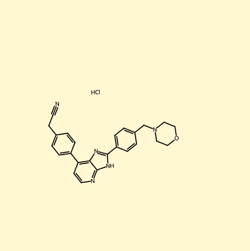 Cl.N#CCc1ccc(-c2ccnc3[nH]c(-c4ccc(CN5CCOCC5)cc4)nc23)cc1